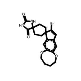 O=C1NC(=O)C2(CCC3(CC2)C(Br)=Cc2cc4c(cc23)OCCCCO4)N1